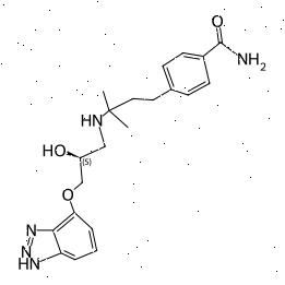 CC(C)(CCc1ccc(C(N)=O)cc1)NC[C@H](O)COc1cccc2[nH]nnc12